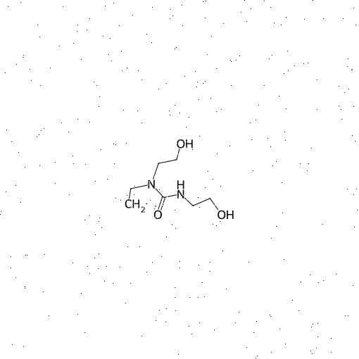 [CH2]CN(CCO)C(=O)NCCO